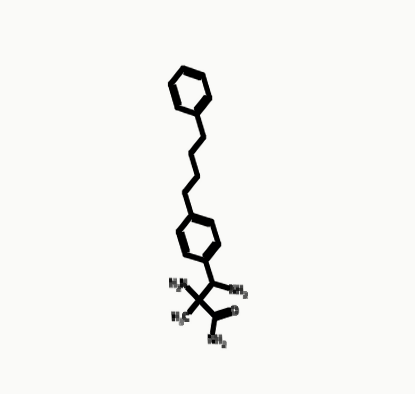 CC(N)(C(N)=O)C(N)c1ccc(CCCCc2ccccc2)cc1